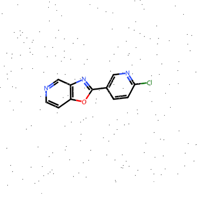 Clc1ccc(-c2nc3cnccc3o2)cn1